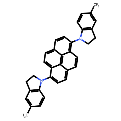 Cc1ccc2c(c1)CCN2c1ccc2ccc3c(N4CCc5cc(C(F)(F)F)ccc54)ccc4ccc1c2c43